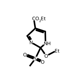 CCOC(=O)C1=CNC(OCC)(S(C)(=O)=O)N=C1